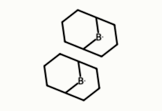 [B]1C2CCCC1CCC2.[B]1C2CCCC1CCC2